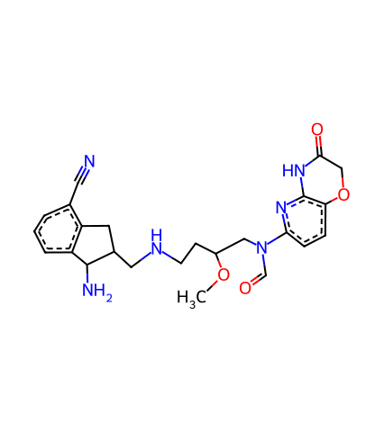 COC(CCNCC1Cc2c(C#N)cccc2C1N)CN(C=O)c1ccc2c(n1)NC(=O)CO2